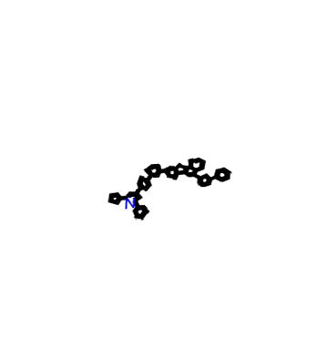 C1=CC2C(c3cccc(-c4ccccc4)c3)=CC3=C(Cc4cc(-c5cccc(-c6ccc(-c7cc(C8=CCC=C8)nc(-c8ccccc8)c7)cc6)c5)ccc43)C2C=C1